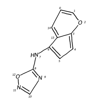 c1coc2ccc(Nc3ncno3)c-2c1